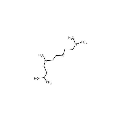 CC(O)CCN(C)CCOCCN(C)C